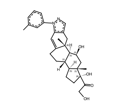 Cc1cccc(-n2ncc3c2C=C2CC[C@@H]4[C@H]([C@@H](O)C[C@@]5(C)[C@H]4CC[C@]5(O)C(=O)CO)[C@@]2(C)C3)c1